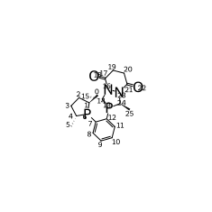 C[C@@H]1CC[C@@H](C)P1c1ccccc1P1[C@H](C)N2C(=O)CCC(=O)N2[C@H]1C